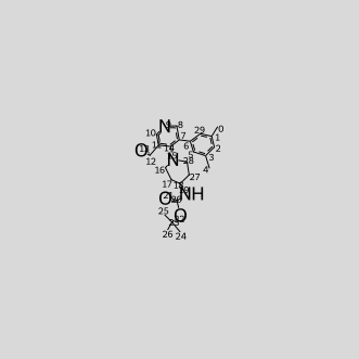 Cc1cc(C)cc(-c2cncc(C=O)c2N2CCC(NC(=O)OC(C)(C)C)CC2)c1